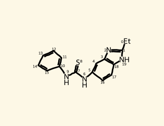 CCc1nc2cc(NC(=S)Nc3ccccc3)ccc2[nH]1